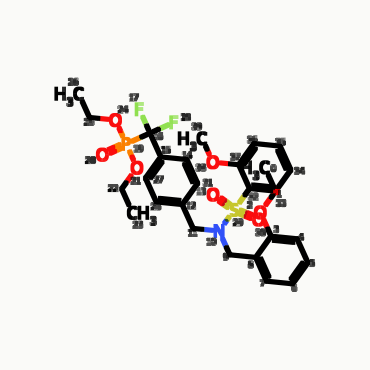 CCOc1ccccc1CN(Cc1ccc(C(F)(F)P(=O)(OCC)OCC)cc1)S(=O)(=O)c1ccccc1OC